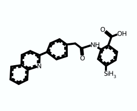 O=C(Cc1ccc(-c2ccc3ccccc3n2)cc1)Nc1cc([SiH3])ccc1C(=O)O